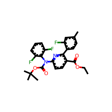 CCOC(=O)c1ccc(N(C(=O)OC(C)(C)C)c2c(F)cccc2F)nc1-c1ccc(C)cc1F